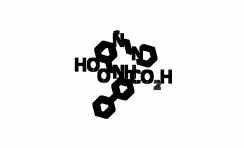 CN(CCN1CCCCC1)c1ccc(O)c(C(=O)Nc2cc(-c3ccccc3)ccc2C(=O)O)c1